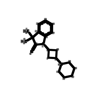 CC1(C)C(=O)N(C2CC(N3CCCCC3)C2)c2ccccc21